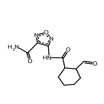 NC(=O)c1nonc1NC(=O)C1CCCCC1C=O